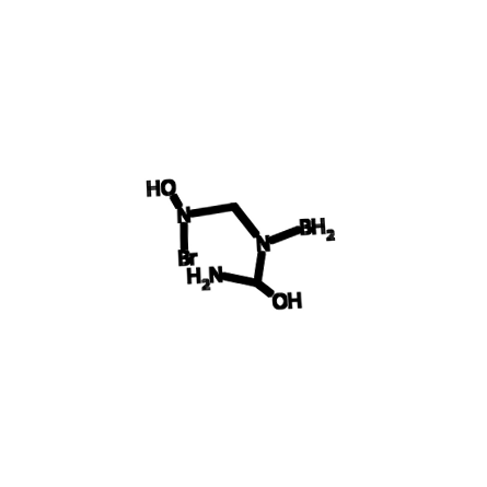 BN(CN(O)Br)C(N)O